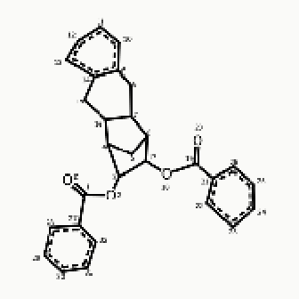 O=C(OC1C2CC(C3Cc4ccccc4CC32)C1OC(=O)c1ccccc1)c1ccccc1